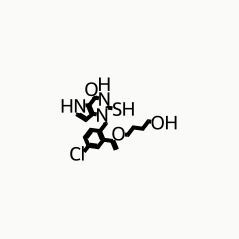 C=C(OCCCCO)c1cc(Cl)ccc1CN1c2cc[nH]c2C(=O)NC1S